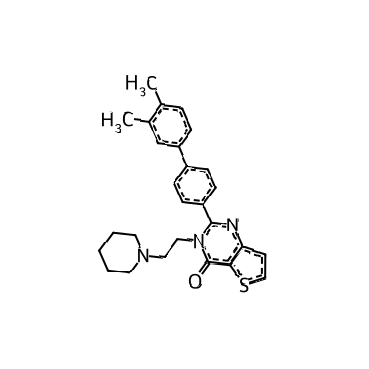 Cc1ccc(-c2ccc(-c3nc4ccsc4c(=O)n3CCN3CCCCC3)cc2)cc1C